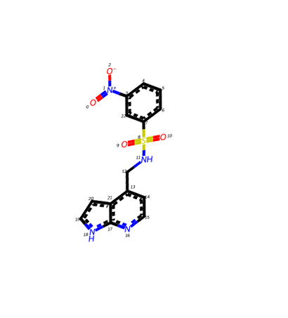 O=[N+]([O-])c1cccc(S(=O)(=O)NCc2ccnc3[nH]ccc23)c1